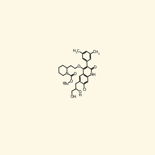 Cc1cc(C)cc(-c2c(OCCC3CCCCN3C(=O)OC(C)(C)C)c3cc(CC(O)CO)c(Cl)cc3[nH]c2=O)c1